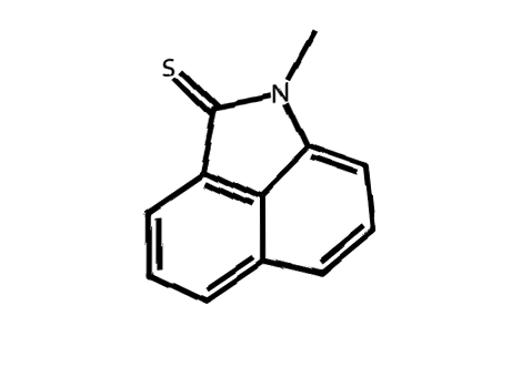 CN1C(=S)c2cccc3cccc1c23